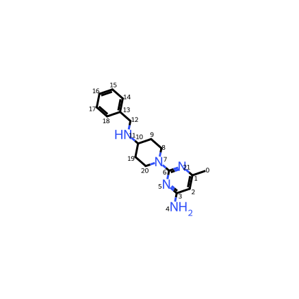 Cc1cc(N)nc(N2CCC(NCc3ccccc3)CC2)n1